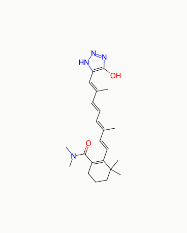 CC(/C=C/C1=C(C(=O)N(C)C)CCCC1(C)C)=C\C=C\C(C)=C\c1[nH]nnc1O